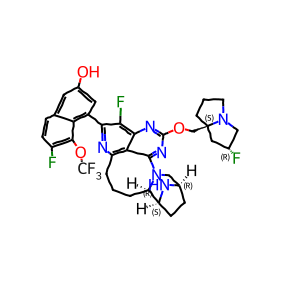 Oc1cc(-c2nc3c4c(nc(OC[C@@]56CCCN5C[C@H](F)C6)nc4c2F)N2C[C@H]4CC[C@H](N4)[C@H]2CCC3)c2c(OC(F)(F)F)c(F)ccc2c1